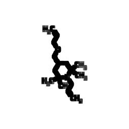 C=CCOCC1CC(C)(C)N(CC=C)C(C)(C)C1